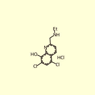 CCNCc1ccc2c(Cl)cc(Cl)c(O)c2n1.Cl